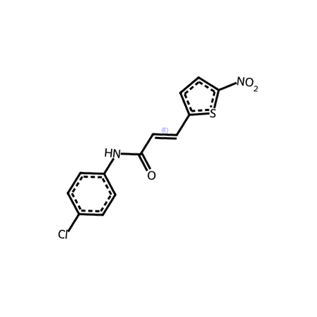 O=C(/C=C/c1ccc([N+](=O)[O-])s1)Nc1ccc(Cl)cc1